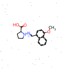 COc1ccc(/C=N/N2CCCC2C(=O)O)c2ccccc12